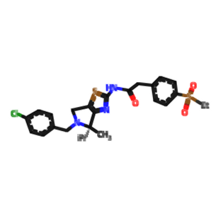 CCS(=O)(=O)c1ccc(CC(=O)Nc2nc3c(s2)CN(Cc2ccc(Cl)cc2)[C@@]3(C)C(C)C)cc1